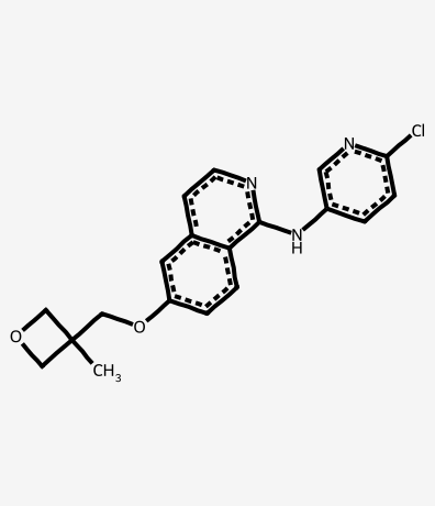 CC1(COc2ccc3c(Nc4ccc(Cl)nc4)nccc3c2)COC1